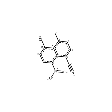 Cc1ccc(C#N)c2c([N+](=O)[O-])ccc(Cl)c12